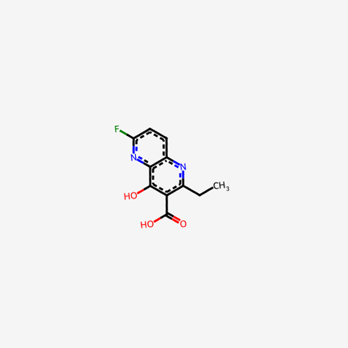 CCc1nc2ccc(F)nc2c(O)c1C(=O)O